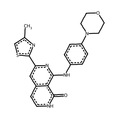 Cc1csc(-c2cc3cc[nH]c(=O)c3c(Nc3ccc(N4CCOCC4)cc3)n2)n1